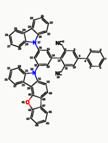 N#Cc1cc(-c2ccccc2)cc(C#N)c1-c1cc(-n2c3ccccc3c3ccccc32)cc(-n2c3ccccc3c3c4oc5ccccc5c4ccc32)c1